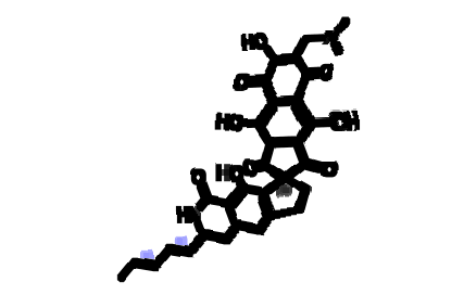 C/C=C/C=C/c1cc2cc3c(c(O)c2c(=O)[nH]1)[C@]1(CC3)C(=O)c2c(O)c3c(c(O)c2C1=O)C(=O)C(CN(C)C)=C(O)C3=O